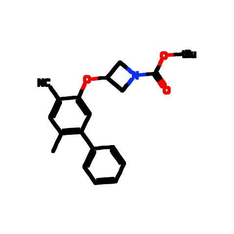 Cc1cc(C#N)c(OC2CN(C(=O)OC(C)(C)C)C2)cc1-c1ccccc1